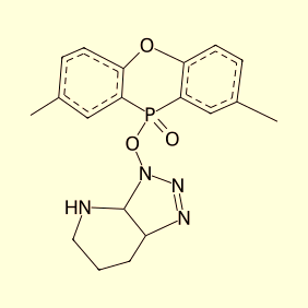 Cc1ccc2c(c1)P(=O)(ON1N=NC3CCCNC31)c1cc(C)ccc1O2